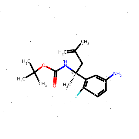 C=C(C)C[C@](C)(NC(=O)OC(C)(C)C)c1cc(N)ccc1F